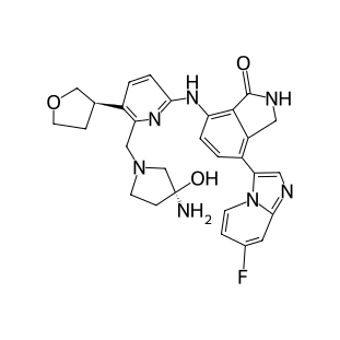 N[C@]1(O)CCN(Cc2nc(Nc3ccc(-c4cnc5cc(F)ccn45)c4c3C(=O)NC4)ccc2[C@H]2CCOC2)C1